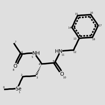 C[Se]CC[C@H](NC(C)=O)C(=O)NCc1ccccc1